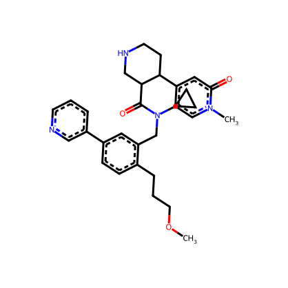 COCCCc1ccc(-c2cccnc2)cc1CN(C(=O)C1CNCCC1c1ccn(C)c(=O)c1)C1CC1